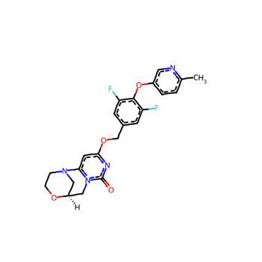 Cc1ccc(Oc2c(F)cc(COc3cc4n(c(=O)n3)C[C@@H]3CN4CCO3)cc2F)cn1